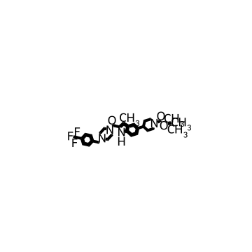 Cc1c(C(=O)N2CCN(Cc3ccc(C(F)(F)F)cc3)CC2)[nH]c2ccc(C3CCN(C(=O)OC(C)(C)C)CC3)cc12